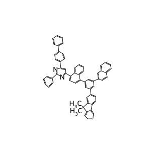 CC1(C)c2ccccc2-c2ccc(-c3cc(-c4ccc5ccccc5c4)cc(-c4ccc(-c5cc(-c6ccc(-c7ccccc7)cc6)nc(-c6ccccc6)n5)c5ccccc45)c3)cc21